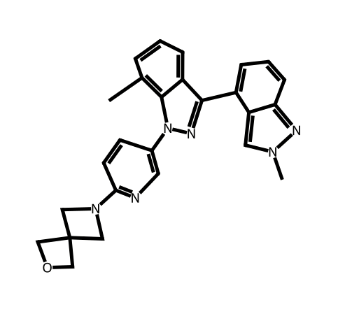 Cc1cccc2c(-c3cccc4nn(C)cc34)nn(-c3ccc(N4CC5(COC5)C4)nc3)c12